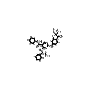 CC1(C)Oc2cc(Nc3ncc(C(=O)Nc4ccccc4)c(N[C@H](CO)c4ccccc4)n3)ccc2C1=O